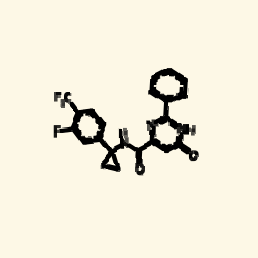 O=C(NC1(c2ccc(C(F)(F)F)c(F)c2)CC1)c1cc(=O)[nH]c(-c2ccccc2)n1